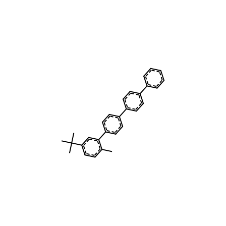 Cc1ccc(C(C)(C)C)cc1-c1ccc(-c2ccc(-c3ccccc3)cc2)cc1